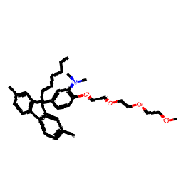 CCCCCCC1(c2ccc(OCCOCCOCCOC)c(N(C)C)c2)c2cc(C)ccc2-c2ccc(C)cc21